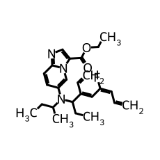 C=C/C=C(F)\C=C(/C=C)C(CC)N(c1ccc2ncc(C(=O)OCC)n2c1)C(C)CC